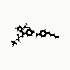 CCCCCc1ccc(C(=O)Oc2ccc(C(CN(C)C(=O)OC(C)(C)C)c3nccn3C(=O)O)cc2)cc1